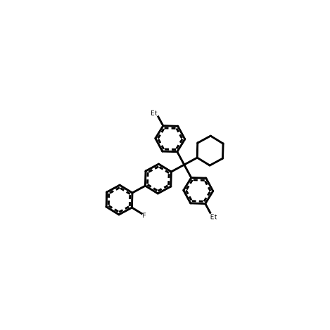 CCc1ccc(C(c2ccc(CC)cc2)(c2ccc(-c3ccccc3F)cc2)C2CCCCC2)cc1